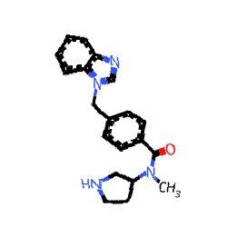 CN(C(=O)c1ccc(Cn2cnc3ccccc32)cc1)C1CCNC1